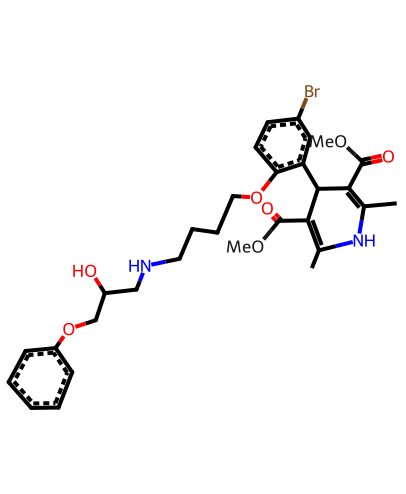 COC(=O)C1=C(C)NC(C)=C(C(=O)OC)C1c1cc(Br)ccc1OCCCCNCC(O)COc1ccccc1